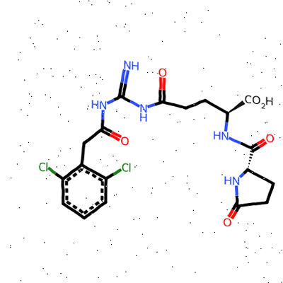 N=C(NC(=O)CC[C@H](NC(=O)[C@@H]1CCC(=O)N1)C(=O)O)NC(=O)Cc1c(Cl)cccc1Cl